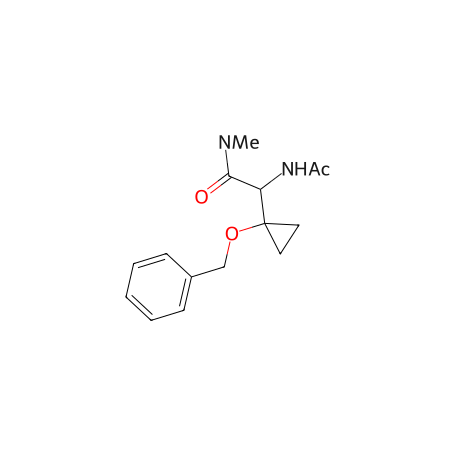 CNC(=O)C(NC(C)=O)C1(OCc2ccccc2)CC1